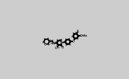 COc1cc(Oc2ccc(-n3ncc(NCC4CCCOC4)c(Cl)c3=O)cc2)ccc1F